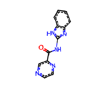 O=C(Nc1nc2ccccc2[nH]1)c1cnccn1